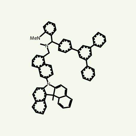 CNc1ccccc1C(c1ccc(-c2cc(-c3ccccc3)cc(-c3ccccc3)c2)cc1)N(C)Cc1cccc2cc(N3C4=CC=C5C=CC=CC5C4(C)c4c3ccc3ccccc43)ccc12